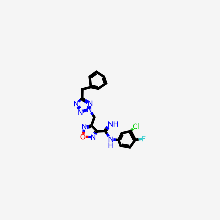 N=C(Nc1ccc(F)c(Cl)c1)c1nonc1Cn1nnc(Cc2ccccc2)n1